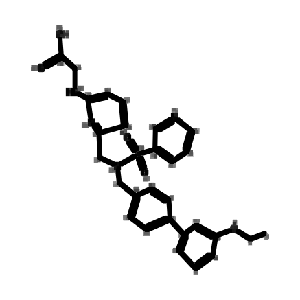 CCOc1cccc(-c2ccc(CN(Cc3cccc(NCC(=O)O)n3)S(=O)(=O)c3cccnc3)cc2)c1